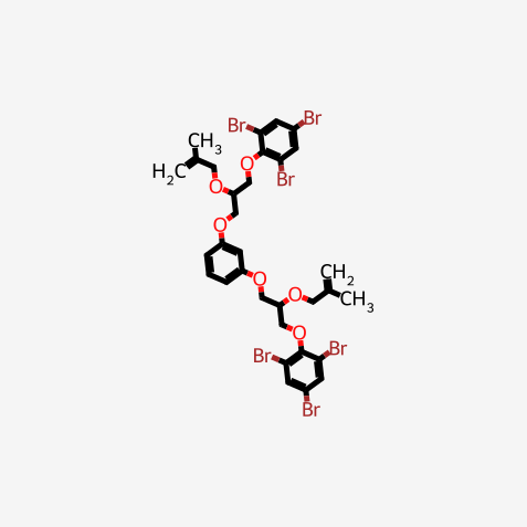 C=C(C)COC(COc1cccc(OCC(COc2c(Br)cc(Br)cc2Br)OCC(=C)C)c1)COc1c(Br)cc(Br)cc1Br